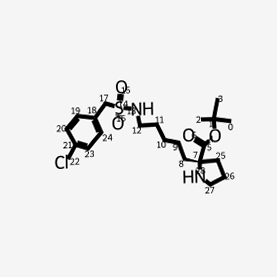 CC(C)(C)OC(=O)[C@]1(CCCCCNS(=O)(=O)Cc2ccc(Cl)cc2)CCCN1